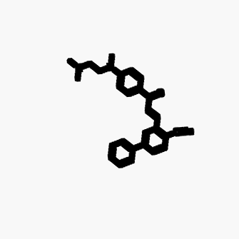 COc1ccc(-c2ccccc2)cc1C=CC(=O)c1ccc(N(C)CCN(C)C)cc1